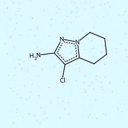 Nc1nn2c(c1Cl)CCCC2